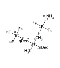 CCCCCCCCCC[N+](C)(C)CCCCCCCCCC.F[B-](F)(F)F.F[B-](F)(F)F.[NH4+]